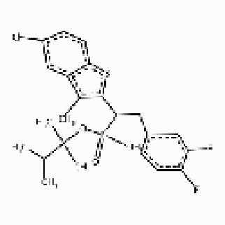 Cc1c(C(Cc2ccc(F)c(F)c2)P(=O)(O)OC(C)(C)C(C)C)sc2ccc(Cl)cc12